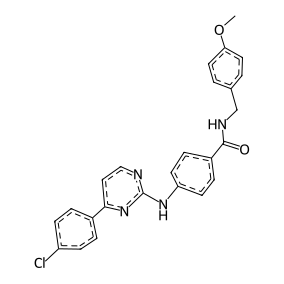 COc1ccc(CNC(=O)c2ccc(Nc3nccc(-c4ccc(Cl)cc4)n3)cc2)cc1